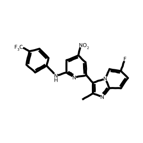 Cc1nc2ccc(F)cn2c1-c1cc([N+](=O)[O-])cc(Nc2ccc(C(F)(F)F)cc2)n1